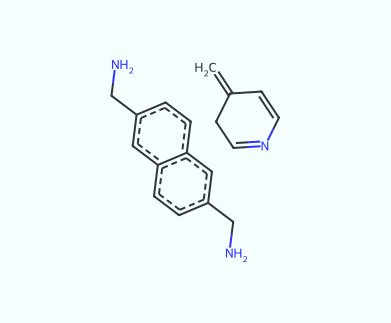 C=C1C=CN=CC1.NCc1ccc2cc(CN)ccc2c1